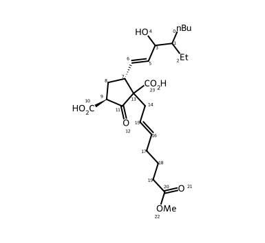 CCCCC(CC)C(O)C=C[C@H]1C[C@H](C(=O)O)C(=O)C1(CC=CCCCC(=O)OC)C(=O)O